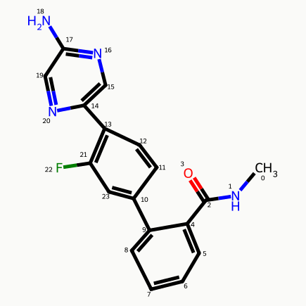 CNC(=O)c1ccccc1-c1ccc(-c2cnc(N)cn2)c(F)c1